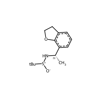 C[C@H](N[S+]([O-])C(C)(C)C)c1cccc2c1OCC2